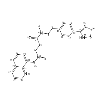 CN(CCC(=O)N(C)CCc1ccc(C2=NCCN2)cc1)Sc1cccc2cccnc12